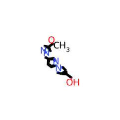 CC(=O)c1cnn(Cc2ccc(N3CC4C(CO)C4C3)nc2)c1